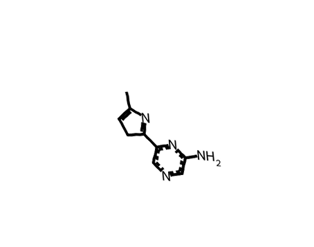 CC1=CCC(c2cncc(N)n2)=N1